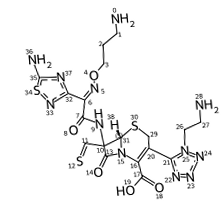 NCCCON=C(C(=O)NC1(C=S)C(=O)N2C(C(=O)O)=C(c3nnnn3CCN)CS[C@H]21)c1nsc(N)n1